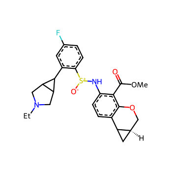 CCN1CC2C(C1)C2c1cc(F)ccc1[S+]([O-])Nc1ccc2c(c1C(=O)OC)OC[C@H]1CC21